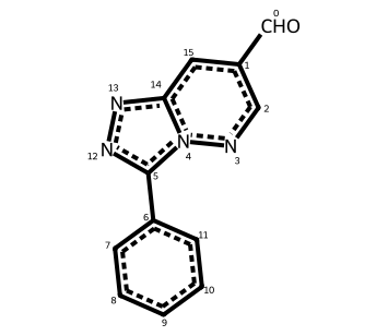 O=Cc1cnn2c(-c3ccccc3)nnc2c1